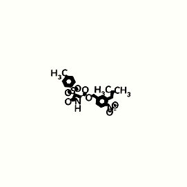 Cc1ccc(S(=O)(=O)[C@H]2C(=O)N[C@H]2C(=O)OCc2ccc([N+](=O)[O-])c(CC(C)C)c2)cc1